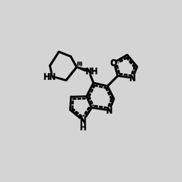 c1coc(-c2cnc3[nH]ccc3c2N[C@@H]2CCCNC2)n1